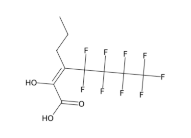 CCCC(=C(O)C(=O)O)C(F)(F)C(F)(F)C(F)(F)C(F)(F)F